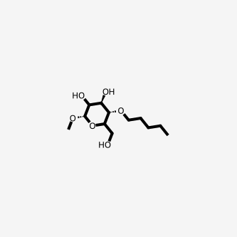 CCCCCO[C@@H]1C(CO)O[C@H](OC)C(O)[C@H]1O